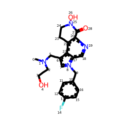 CN(CCO)Cc1cn(Cc2ccc(F)cc2)c2cnc3c(c12)CCN(O)C3=O